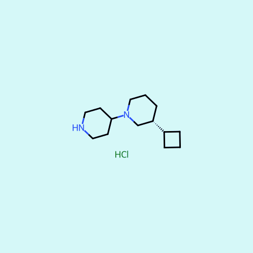 C1CC([C@H]2CCCN(C3CCNCC3)C2)C1.Cl